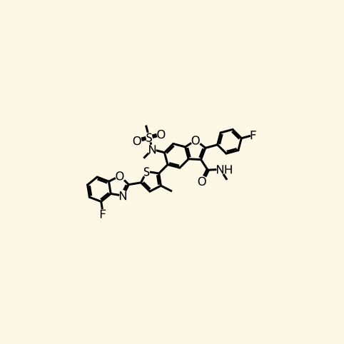 CNC(=O)c1c(-c2ccc(F)cc2)oc2cc(N(C)S(C)(=O)=O)c(-c3sc(-c4nc5c(F)cccc5o4)cc3C)cc12